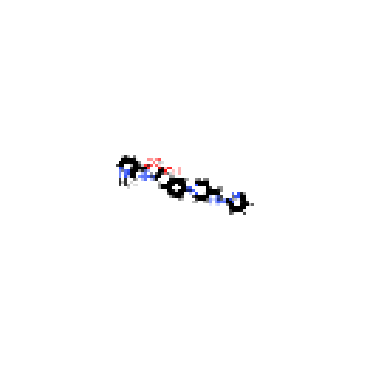 Cc1ncccc1C(=O)N[C@@H](Cc1ccc(N2CCC(CNc3ccccn3)CC2)cc1)C(=O)O